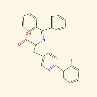 Cc1ccccc1-c1ccc(CC(N=C(c2ccccc2)c2ccccc2)C(=O)O)cn1